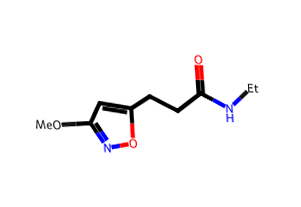 CCNC(=O)CCc1cc(OC)no1